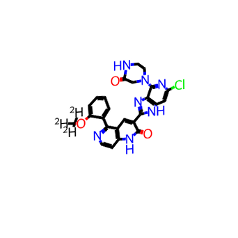 [2H]C([2H])([2H])Oc1ccccc1-c1nccc2[nH]c(=O)c(-c3nc4c(N5CCNC(=O)C5)nc(Cl)cc4[nH]3)cc12